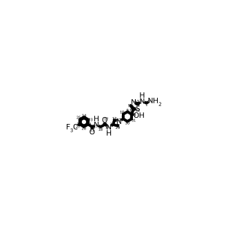 NCNc1ncc(C2(O)CCC(N3CC(NC(=O)CNC(=O)c4cccc(C(F)(F)F)c4)C3)CC2)s1